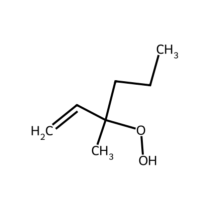 C=CC(C)(CCC)OO